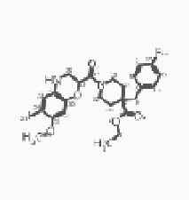 CCOC(=O)C1(Cc2ccc(F)cc2)CCN(C(=O)C2CNc3cc(I)c(OC)cc3O2)CC1